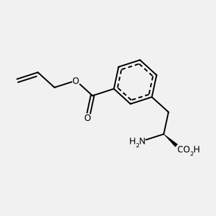 C=CCOC(=O)c1cccc(C[C@H](N)C(=O)O)c1